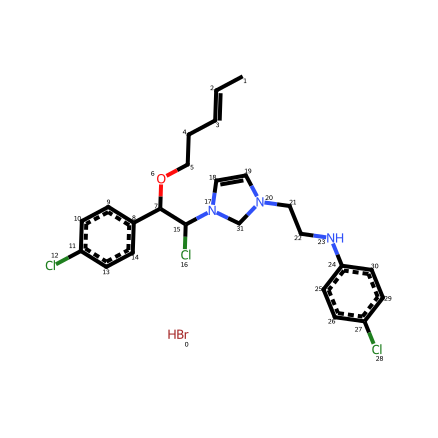 Br.CC=CCCOC(c1ccc(Cl)cc1)C(Cl)N1C=CN(CCNc2ccc(Cl)cc2)C1